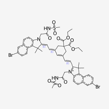 CCOC(=O)C1(C(=O)OCC)CC(/C=C/C2=[N+](CC(=O)NS(C)(=O)=O)c3ccc4cc(Br)ccc4c3C2(C)C)=CC(=C/C=C2/N(CC(=O)NS(C)(=O)=O)c3ccc4cc(Br)ccc4c3C2(C)C)/C1